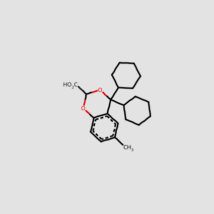 Cc1ccc2c(c1)C(C1CCCCC1)(C1CCCCC1)OC(C(=O)O)O2